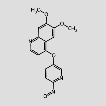 COc1cc2nccc(Oc3ccc(N=O)nc3)c2cc1OC